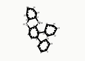 c1ccc(-c2ccc3c(c2-c2ccccc2)[N]c2ccccc2S3)cc1